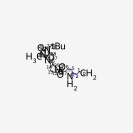 C=C/C=C(N)\C=C/CS(=O)(=O)N1CCCC(c2ccc3c(n2)n(C)c(=O)n3CC(C)(C)C)C1